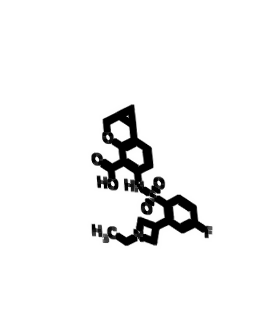 CCN1CC(c2cc(F)ccc2S(=O)(=O)Nc2ccc3c(c2C(=O)O)OCC2CC32)C1